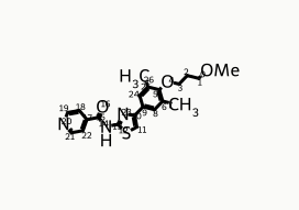 COCCCOc1c(C)cc(-c2csc(NC(=O)c3ccncc3)n2)cc1C